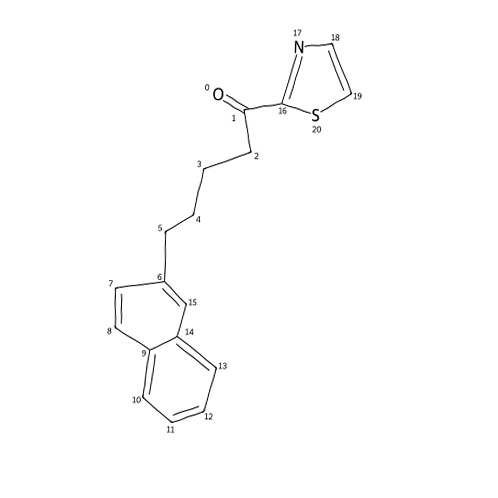 O=C(CCCCc1ccc2ccccc2c1)c1nccs1